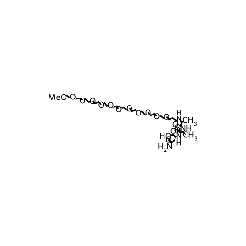 COCCOCCOCCOCCOCCOCCOCCOCCOCCOCCOCCOCCC(=O)N[C@@H](C)C(=O)N[C@@H](C)C(=O)N[C@@H](CC(N)=O)C(O)O